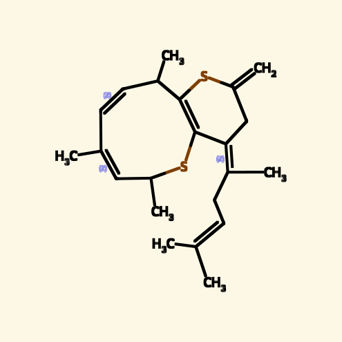 C=C1C/C(=C(\C)CC=C(C)C)C2=C(S1)C(C)/C=C\C(C)=C/C(C)S2